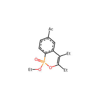 CCOP1(=O)OC(CC)=C(CC)c2cc(C(C)=O)ccc21